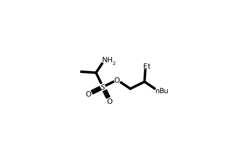 CCCCC(CC)COS(=O)(=O)C(C)N